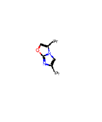 CC(C)c1cn2c(C(C)C)coc2n1